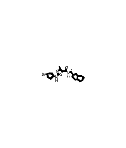 Cc1nc(Nc2ccc(Br)cc2)sc1C(=O)N[C@H](C)c1ccc2ccccc2c1